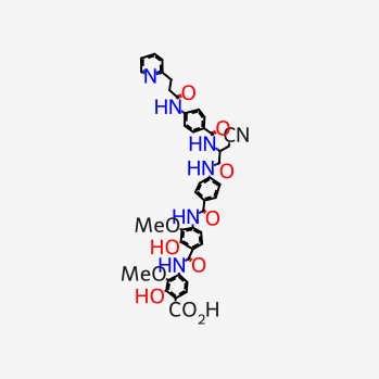 COc1c(NC(=O)c2ccc(NC(=O)c3ccc(NC(=O)C(CC#N)NC(=O)c4ccc(NC(=O)CCc5ccccn5)cc4)cc3)c(OC)c2O)ccc(C(=O)O)c1O